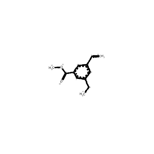 C=[C]c1cc(CC)cc(C(=O)OC)c1